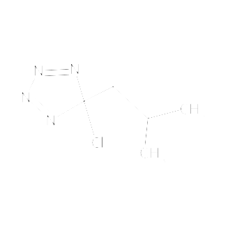 CC(C)CC1(Cl)N=NN=N1